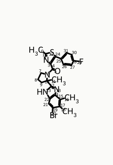 Cc1nc(C(=O)N2CCCC2(C)c2nc3c(C)c(C)c(Br)cc3[nH]2)c(-c2ccc(F)cc2)s1